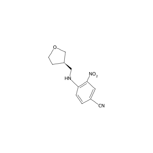 N#Cc1ccc(NC[C@H]2CCOC2)c([N+](=O)[O-])c1